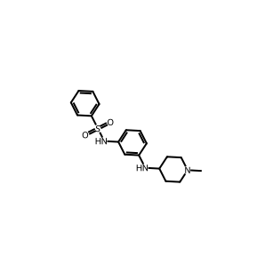 CN1CCC(Nc2cccc(NS(=O)(=O)c3ccccc3)c2)CC1